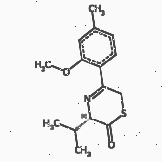 COc1cc(C)ccc1C1=N[C@@H](C(C)C)C(=O)SC1